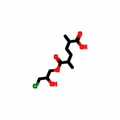 CC(CCC(C)C(=O)OCC(O)CCl)C(=O)O